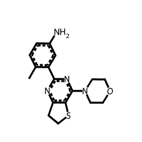 Cc1ccc(N)cc1-c1nc2c(c(N3CCOCC3)n1)SCC2